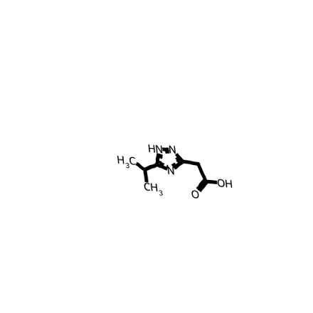 CC(C)c1nc(CC(=O)O)n[nH]1